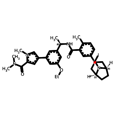 CCOc1cc(-c2cc(C(=O)N(C)C)n(C)c2)cc([C@@H](C)NC(=O)c2cc(N3C[C@H]4CC[C@@H](C3)N4CI)ccc2C)c1